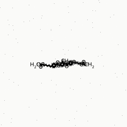 C=CC(=O)OCCCCCc1ccc(C(=O)Oc2ccc(OC(=O)c3ccc(OCCCCOC(=O)C=C)cc3)c(C)c2)cc1